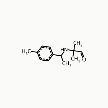 Cc1ccc(C(C)NC(C)(C)C=O)cc1